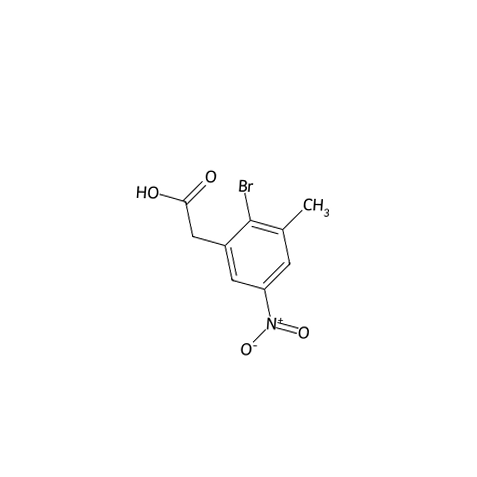 Cc1cc([N+](=O)[O-])cc(CC(=O)O)c1Br